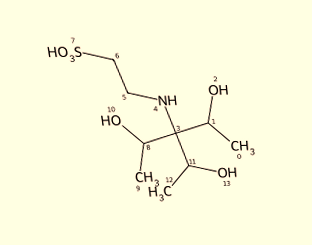 CC(O)C(NCCS(=O)(=O)O)(C(C)O)C(C)O